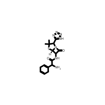 CC1(C)S[C@H]2C(NC(=O)C(N)C3=CCC=CC3)C(=O)N2C1c1nnn[nH]1